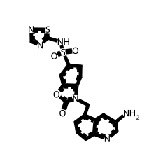 Nc1cnc2cccc(Cn3c(=O)oc4cc(S(=O)(=O)Nc5ncns5)ccc43)c2c1